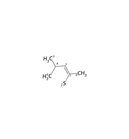 CC([S])=CC(C)C